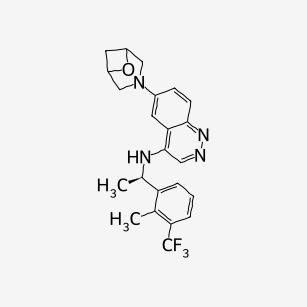 Cc1c([C@@H](C)Nc2cnnc3ccc(N4CC5CC(C4)O5)cc23)cccc1C(F)(F)F